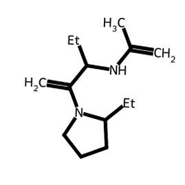 C=C(C)NC(CC)C(=C)N1CCCC1CC